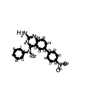 Nc1nc(N(Br)c2ccccc2)c2cc(-c3ccc([N+](=O)[O-])cc3)ccc2n1